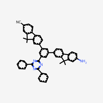 CC1(C)c2cc(N)ccc2-c2ccc(-c3cc(-c4ccc5c(c4)C(C)(C)c4cc(C#N)ccc4-5)cc(-c4nc(-c5ccccc5)nc(-c5ccccc5)n4)c3)cc21